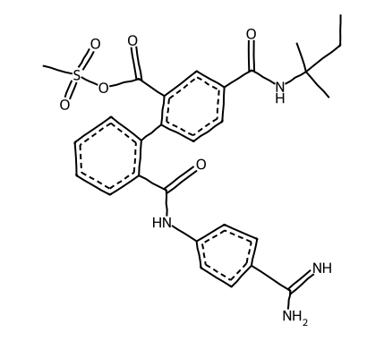 CCC(C)(C)NC(=O)c1ccc(-c2ccccc2C(=O)Nc2ccc(C(=N)N)cc2)c(C(=O)OS(C)(=O)=O)c1